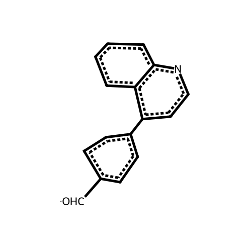 O=[C]c1ccc(-c2ccnc3ccccc23)cc1